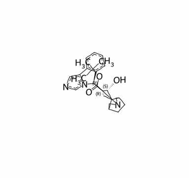 CC(C)(C)OC(=O)N1CC2CCC(C1)C21C[C@H]([C@@H]2c3ccccc3-c3cncn32)[C@@H]1O